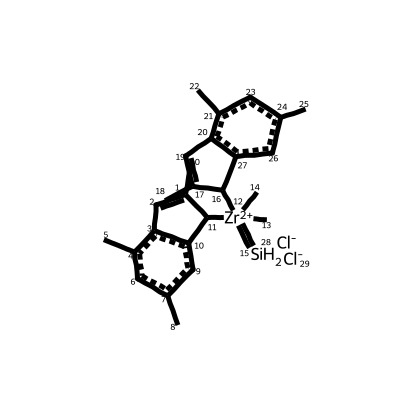 CC1=Cc2c(C)cc(C)cc2[CH]1[Zr+2]([CH3])([CH3])(=[SiH2])[CH]1C(C)=Cc2c(C)cc(C)cc21.[Cl-].[Cl-]